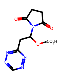 O=C(O)OC(Cc1nncnn1)N1C(=O)CCC1=O